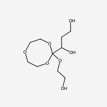 OCCOC1(C(O)CCO)OCCOCCO1